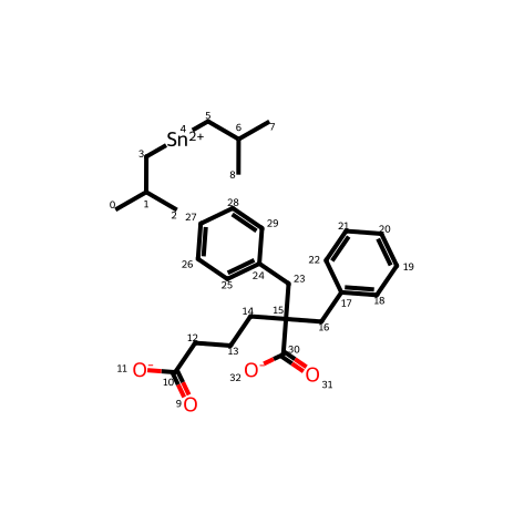 CC(C)[CH2][Sn+2][CH2]C(C)C.O=C([O-])CCCC(Cc1ccccc1)(Cc1ccccc1)C(=O)[O-]